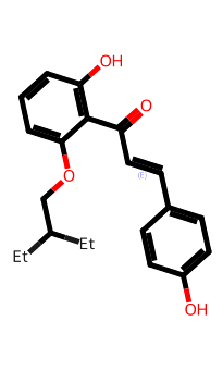 CCC(CC)COc1cccc(O)c1C(=O)/C=C/c1ccc(O)cc1